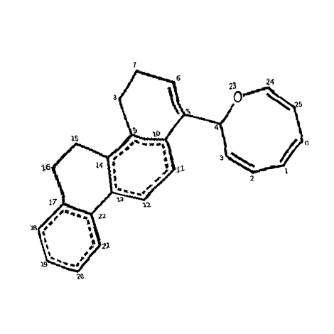 C1=CC=CC(C2=CCCc3c2ccc2c3CCc3ccccc3-2)OC=C1